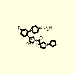 C[C@H]1CN(C(=O)[C@@]2(F)CCN(C3CCCC3)C2)C[C@@H]1c1ccc(F)cc1N1CCC(C(=O)O)CC1